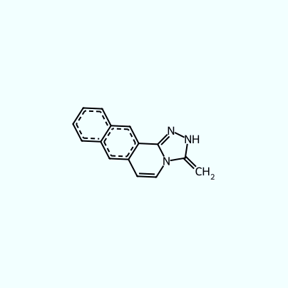 C=C1NN=C2c3cc4ccccc4cc3C=CN12